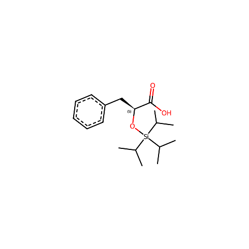 CC(C)[Si](O[C@@H](Cc1ccccc1)C(=O)O)(C(C)C)C(C)C